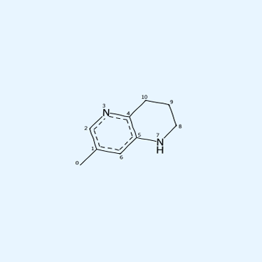 Cc1cnc2c(c1)NCCC2